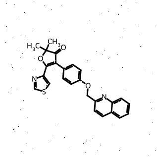 CC1(C)OC(c2cscn2)=C(c2ccc(OCc3ccc4ccccc4n3)cc2)C1=O